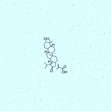 C/C(=C\[C@@]12CC[C@]3(C)[C@H](CC[C@@H]4[C@@]5(C)CC[C@H](O)C(C)(C)[C@@H]5CC[C@]43C)C1=C(C(C)C)C(=O)C2)C(=O)O